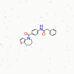 O=C(Cc1ccccc1)Nc1ccc(C(=O)N2CCCCc3sccc32)cc1